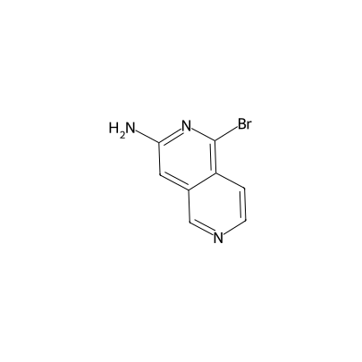 Nc1cc2cnccc2c(Br)n1